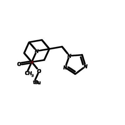 CC1CC2CC(Cn3cncn3)(C1)N2C(=O)OC(C)(C)C